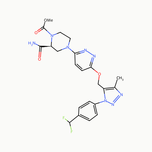 COC(=O)N1CCN(c2ccc(OCc3c(C)nnn3-c3ccc(C(F)F)cc3)nn2)C[C@H]1C(N)=O